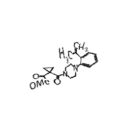 C=C(C)c1ccccc1N1CCN(C(=O)C2(C(=O)OC)CC2)CC1